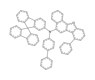 c1ccc(-c2ccc(N(c3ccc4c(c3)C3(c5ccccc5-c5ccccc53)c3ccccc3-4)c3cc4c(oc5cccc(-c6ccccc6)c54)c4ccccc34)cc2)cc1